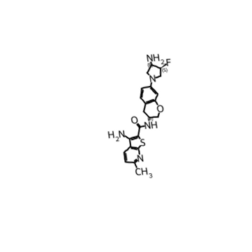 Cc1ccc2c(N)c(C(=O)N[C@H]3COc4cc(N5C[C@@H](N)[C@@H](F)C5)ccc4C3)sc2n1